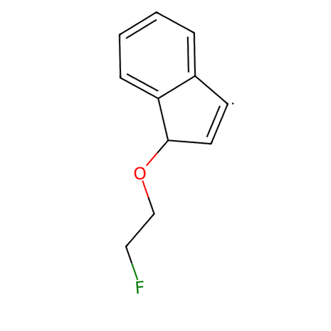 FCCOC1C=[C]c2ccccc21